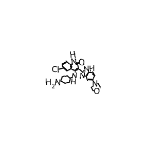 NC1CCC(Nc2c(-c3nc4cc(N5CCOCC5)ccc4[nH]3)c(=O)[nH]c3ccc(Cl)cc23)CC1